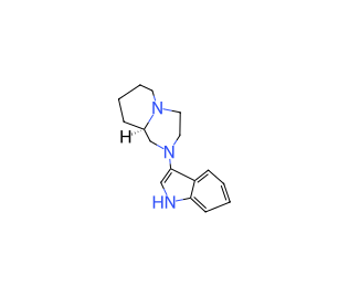 c1ccc2c(N3CCN4CCCC[C@@H]4C3)c[nH]c2c1